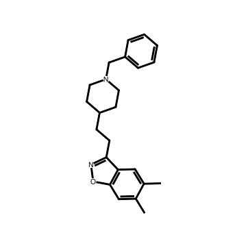 Cc1cc2onc(CCC3CCN(Cc4ccccc4)CC3)c2cc1C